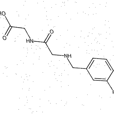 O=C(O)CNC(=O)CNCc1cccc(F)c1